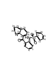 O=C(c1ccccc1NS(=O)(=O)c1ccccc1)c1cccc2cccnc12